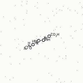 CN1CCC(NC(=O)c2ccc(-c3nc4cc(-c5ccc6[nH]c(-c7ccc(C(=O)O)cc7)nc6c5)ccc4[nH]3)cc2)CC1